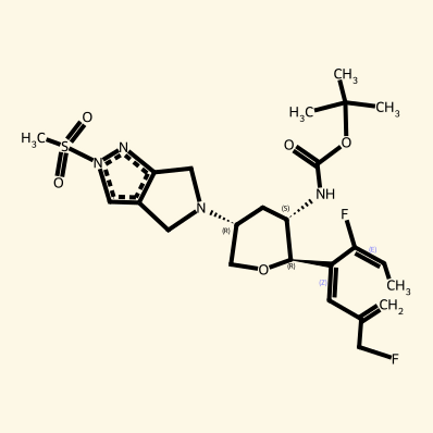 C=C(/C=C(\C(F)=C/C)[C@H]1OC[C@H](N2Cc3cn(S(C)(=O)=O)nc3C2)C[C@@H]1NC(=O)OC(C)(C)C)CF